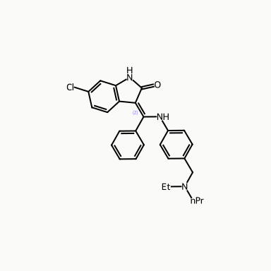 CCCN(CC)Cc1ccc(N/C(=C2\C(=O)Nc3cc(Cl)ccc32)c2ccccc2)cc1